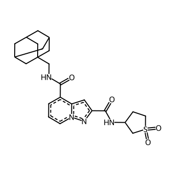 O=C(NC1CCS(=O)(=O)C1)c1cc2c(C(=O)NCC34CC5CC(CC(C5)C3)C4)cccn2n1